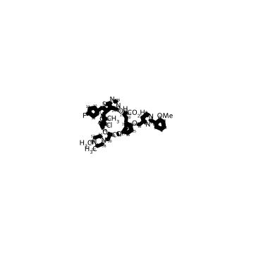 COc1ccccc1-c1nccc(COc2ccc3cc2C[C@H](C(=O)O)Oc2ncnc4sc(-c5ccc(F)cc5)c(c24)-c2ccc(c(Cl)c2C)OC(CN2CCN(C)[C@H](C)C2)CO3)n1